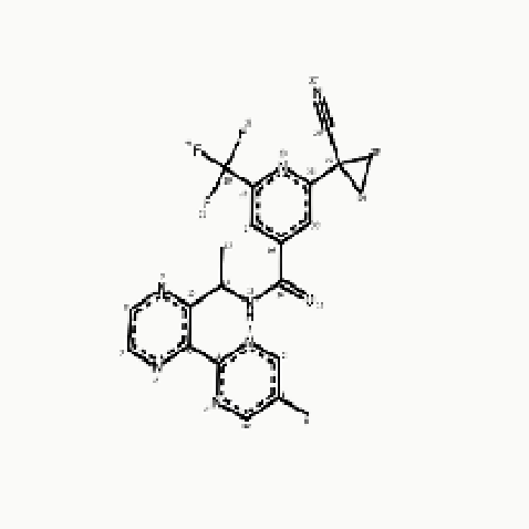 Cc1cnc(-c2nccnc2C(C)NC(=O)c2cc(C(F)(F)F)nc(C3(C#N)CC3)c2)nc1